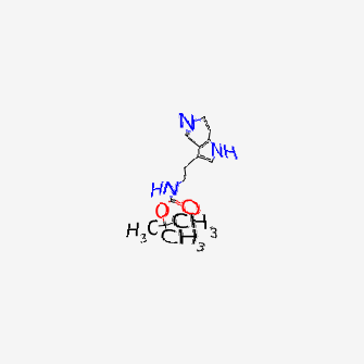 CC(C)(C)OC(=O)NCCc1c[nH]c2ccncc12